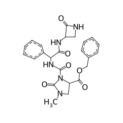 CN1CC(C(=O)OCc2ccccc2)N(C(=O)NC(C(=O)NC2CNC2=O)c2ccccc2)C1=O